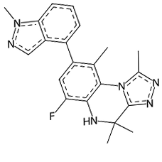 Cc1c(-c2cccc3c2cnn3C)cc(F)c2c1-n1c(C)nnc1C(C)(C)N2